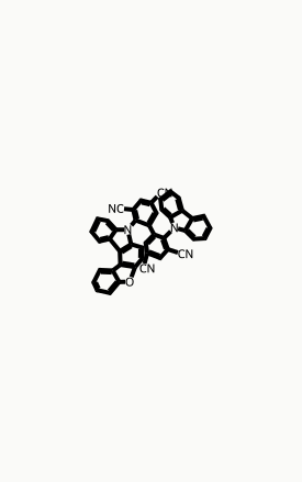 N#Cc1cc(C#N)c(-n2c3ccccc3c3ccccc32)c(-c2cc(C#N)cc(C#N)c2-n2c3ccccc3c3c4c(ccc32)oc2ccccc24)c1